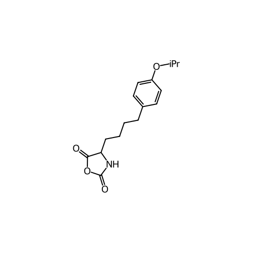 CC(C)Oc1ccc(CCCCC2NC(=O)OC2=O)cc1